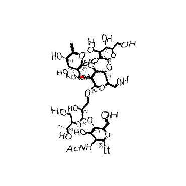 CC[C@@H]1OC(CO)[C@@H](O[C@H](OC(CO)[C@@H](C)O)[C@@H](O)CO[C@@H]2OC(CO)[C@@H](O[C@@H]3OC(CO)[C@H](O)C(O)[C@@H]3O)C(O[C@@H]3OC(C)[C@@H](O)[C@@H](O)C3O)[C@@H]2NC(C)=O)C(O)C1NC(C)=O